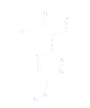 Cc1ncccc1-c1ccc(NN)nn1